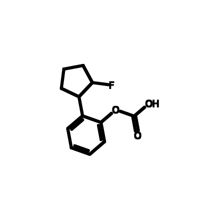 O=C(O)Oc1ccccc1C1CCCC1F